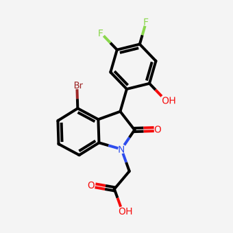 O=C(O)CN1C(=O)C(c2cc(F)c(F)cc2O)c2c(Br)cccc21